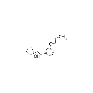 CCCOc1cccc(CCC2(O)CCCC2)c1